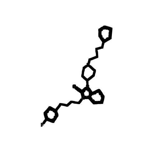 O=c1n(CCCCc2ccc(F)cc2)c2ccccc2n1C1CCN(CCCCc2ccccc2)CC1